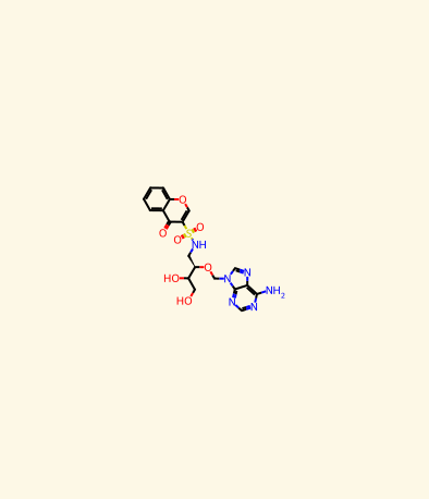 Nc1ncnc2c1ncn2CO[C@H](CNS(=O)(=O)c1coc2ccccc2c1=O)C(O)CO